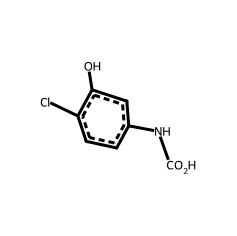 O=C(O)Nc1ccc(Cl)c(O)c1